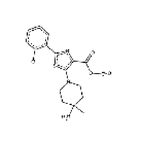 CC1(N)CCN(c2sc(-c3ccccc3Cl)nc2C(=O)OC=O)CC1